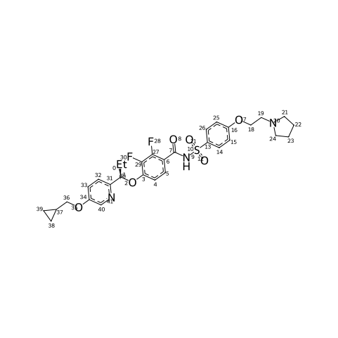 CC[C@@H](Oc1ccc(C(=O)NS(=O)(=O)c2ccc(OCCN3CCCC3)cc2)c(F)c1F)c1ccc(OCC2CC2)cn1